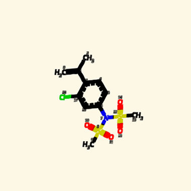 C=C(C)c1ccc(N(S(C)(=O)=O)S(C)(=O)=O)cc1Cl